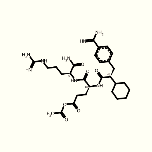 N=C(N)NCCC[C@H](NC(=O)[C@H](CCC(=O)OC(=O)C(F)(F)F)NC(=O)[C@@H](Cc1ccc(C(=N)N)cc1)C1CCCCC1)C(N)=O